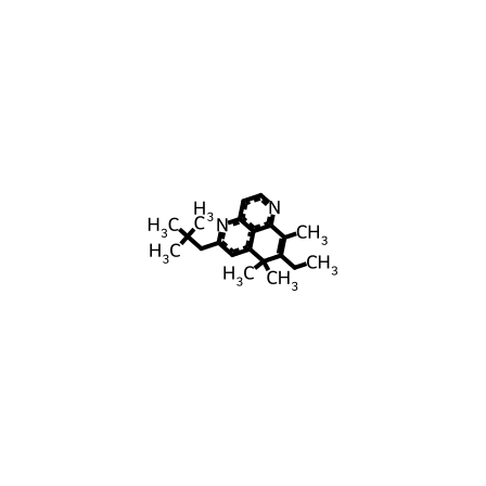 CCC1=C(C)c2nccc3nc(CC(C)(C)C)cc(c23)C1(C)C